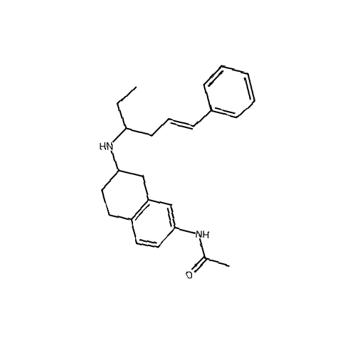 CCC(CC=Cc1ccccc1)NC1CCc2ccc(NC(C)=O)cc2C1